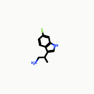 CC(CN)c1c[nH]c2cc(F)ccc12